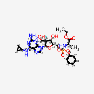 CCOC(=O)[C@@H](C)N[P@@](=O)(OC[C@H]1O[C@@H](n2cnc3c(NC4CC4)nc(N)nc32)[C@@](F)(CO)[C@@H]1O)Oc1ccccc1